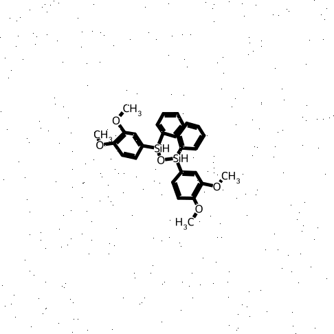 COc1ccc([SiH](O[SiH](c2ccccc2)c2ccc(OC)c(OC)c2)c2ccccc2)cc1OC